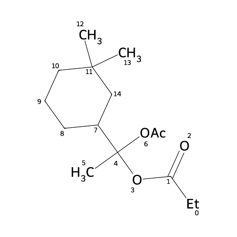 CCC(=O)OC(C)(OC(C)=O)C1CCCC(C)(C)C1